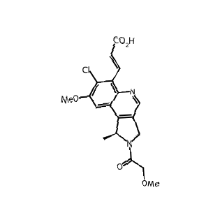 COCC(=O)N1Cc2cnc3c(/C=C/C(=O)O)c(Cl)c(OC)cc3c2[C@@H]1C